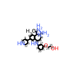 C/C(N)=C1\c2ccc(C3=CCNCC3)cc2C(Nc2cccc(OCCO)c2)CCN1N